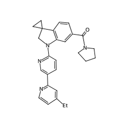 CCc1ccnc(-c2ccc(N3CC4(CC4)c4ccc(C(=O)N5CCCC5)cc43)nc2)c1